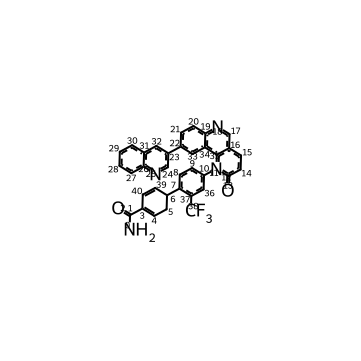 NC(=O)C1=CCC(c2ccc(-n3c(=O)ccc4cnc5ccc(-c6cnc7ccccc7c6)cc5c43)cc2C(F)(F)F)C=C1